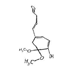 COC1(OC)CC(/C=C/C=O)=CC=C1O